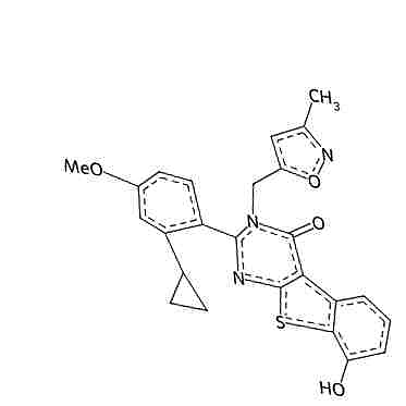 COc1ccc(-c2nc3sc4c(O)cccc4c3c(=O)n2Cc2cc(C)no2)c(C2CC2)c1